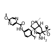 COc1cnc(C(=O)Nc2ccc(F)c([C@]34CO[C@H](C)[C@H]3C[C@](C)(S(C)(=O)=O)C(N)=N4)c2)cn1